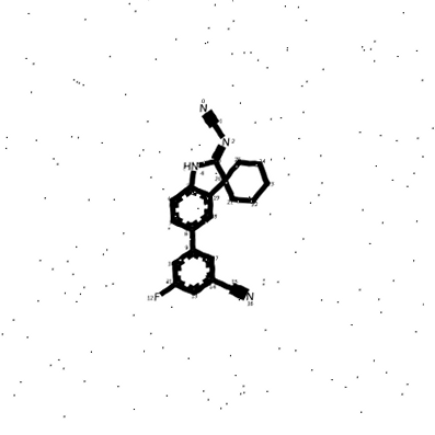 N#C/N=C1\Nc2ccc(-c3cc(F)cc(C#N)c3)cc2C12CCCCC2